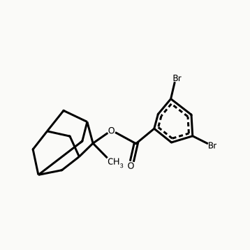 CC1(OC(=O)c2cc(Br)cc(Br)c2)C2CC3CC(C2)CC1C3